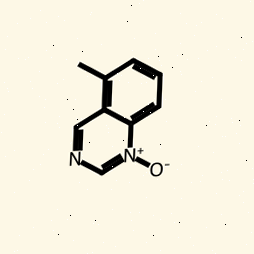 Cc1cccc2c1cnc[n+]2[O-]